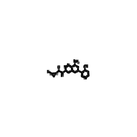 N#Cc1ccncc1-c1cc(N)c2nnc(NC(=O)[C@H]3C[C@H]3F)cc2c1